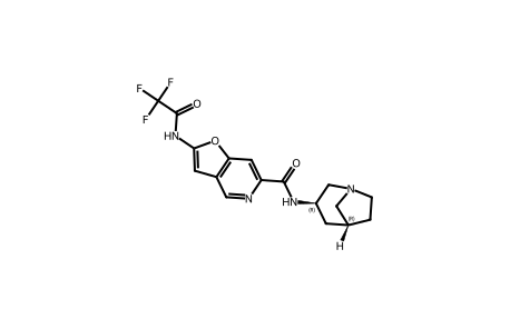 O=C(N[C@@H]1C[C@H]2CCN(C2)C1)c1cc2oc(NC(=O)C(F)(F)F)cc2cn1